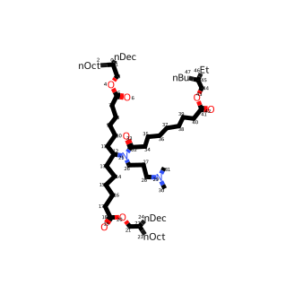 CCCCCCCCCCC(CCCCCCCC)COC(=O)CCCCCC(CCCCCC(=O)OCC(CCCCCCCC)CCCCCCCCCC)N(CCCN(C)C)C(=O)CCCCCCCC(=O)OCC(CC)CCCC